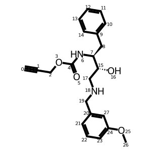 C#CCOC(=O)N[C@@H](Cc1ccccc1)[C@H](O)CNCc1cccc(OC)c1